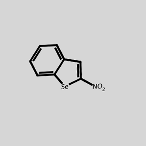 O=[N+]([O-])c1cc2ccccc2[se]1